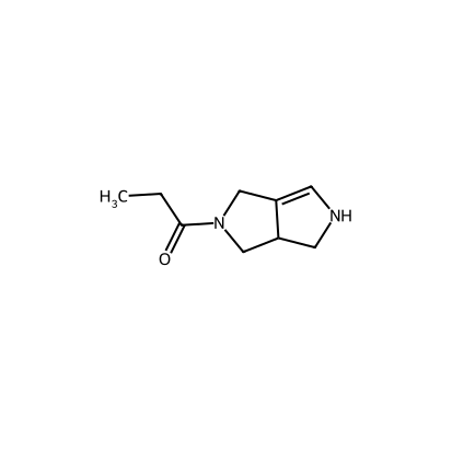 CCC(=O)N1CC2=CNCC2C1